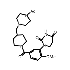 COc1ccc(C(=O)N2CCC(CN3CCN(C(C)=O)CC3)CC2)cc1N1CCC(=O)NC1=O